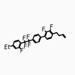 C=CCCc1ccc(-c2ccc(C(F)(F)C(F)(F)c3ccc(CC)cc3F)cc2)c(F)c1F